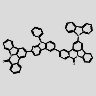 O=c1c2ccccc2c2cc(-c3ccc4c5cc(-c6ccc7c(=O)n8c9ccccc9c9cc(-n%10c%11ccccc%11c%11ccccc%11%10)cc(c7c6)c98)ccc5n(-c5ccccc5)c4c3)cc3c4ccccc4n1c23